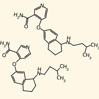 CC(C)CCNC1CCCc2cc(Oc3ccncc3C(N)=O)ccc21.CC(C)CCNC1CCCc2ccc(Oc3ccncc3C(N)=O)cc21